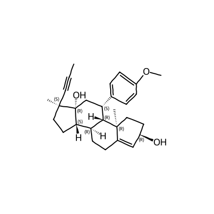 CC#C[C@]1(C)CC[C@H]2[C@@H]3CCC4=C[C@H](O)CC[C@]4(C)[C@H]3[C@@H](c3ccc(OC)cc3)C[C@@]21O